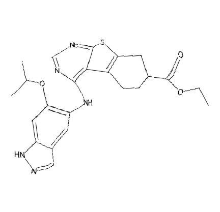 CCOC(=O)C1CCc2c(sc3ncnc(Nc4cc5cn[nH]c5cc4OC(C)C)c23)C1